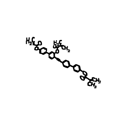 C=CC(=O)Oc1ccc(-c2ccc(C#Cc3ccc(-c4ccc(OC(=O)C(=C)C)cc4)cc3)c(OC(=O)C(=C)C)c2)cc1